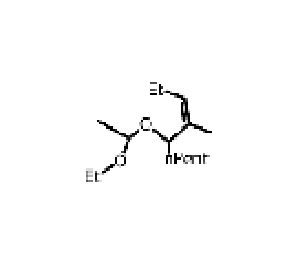 CCC=C(C)C(CCCCC)OC(C)OCC